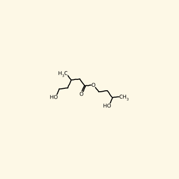 CC(O)CCOC(=O)CC(C)CCO